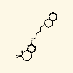 O=C1CCCc2ccc(OCCCCN3CCc4ccccc4C3)nc2N1